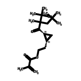 C=C(C)C(=O)OCC[C@H]1C[C@H]1C(=O)C(C)(CC(C)(C)C)C(C)(C)C